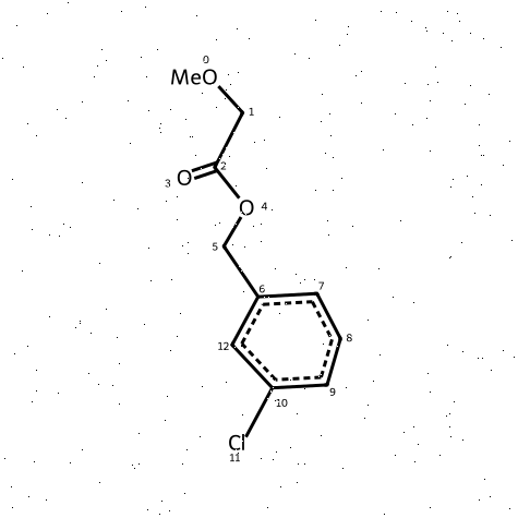 COCC(=O)OCc1cccc(Cl)c1